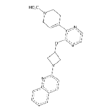 O=C(O)N1CC=C(c2nccnc2OC2CN(c3ccc4ccccc4n3)C2)CC1